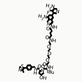 Cc1ncsc1-c1ccc(CNC(=O)[C@@H]2C[C@@H](O)CN2C(=O)[C@@H](NC(=O)COCCOCCOCCNC(=O)CCCC(=O)Nc2cc3cc(-c4cncc(N)c4C)c(F)c(N)c3cn2)C(C)(C)C)cc1